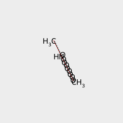 CCCCCCCCCCCCCCCC(=O)NCCOCCOCCOCCOCCOCCOCCOCCOCC